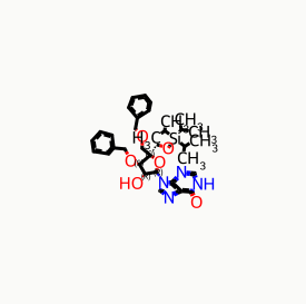 CC(C)[Si](OC[C@]1(COCc2ccccc2)O[C@@H](n2cnc3c(=O)[nH]cnc32)[C@H](O)[C@@H]1OCc1ccccc1)(C(C)C)C(C)C